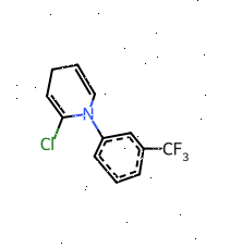 FC(F)(F)c1cccc(N2C=CCC=C2Cl)c1